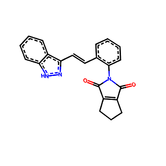 O=C1C2=C(CCC2)C(=O)N1c1ccccc1C=Cc1n[nH]c2ccccc12